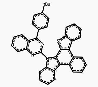 CC(C)(C)c1ccc(-c2nc(-n3c4ccccc4c4c5ccccc5c5c6ccccc6sc5c43)nc3ccccc23)cc1